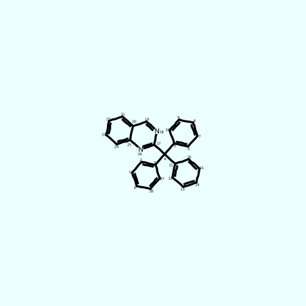 c1ccc(C(c2ccccc2)(c2ccccc2)c2ncc3ccccc3n2)cc1